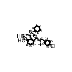 O=S(=O)(c1ccccc1)C1CS(O)(O)c2cccc(CNCc3ccc(Cl)cc3)c21